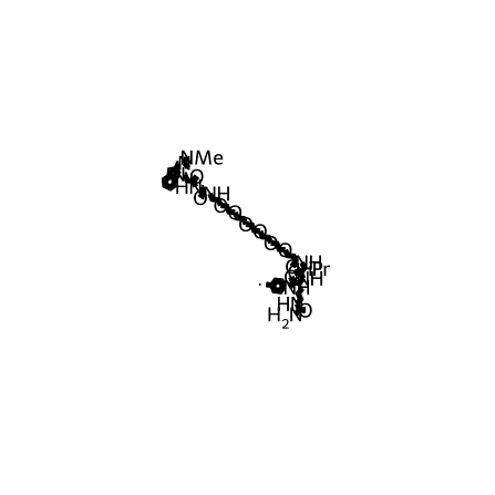 [CH2]c1ccc(NC(=O)[C@H](CCCNC(N)=O)NC(=O)[C@@H](NC(=O)CCOCCOCCOCCOCCOCCOCCNC(=O)CNC(=O)CCn2c(CN(C)NC)cc3ccccc32)C(C)C)cc1